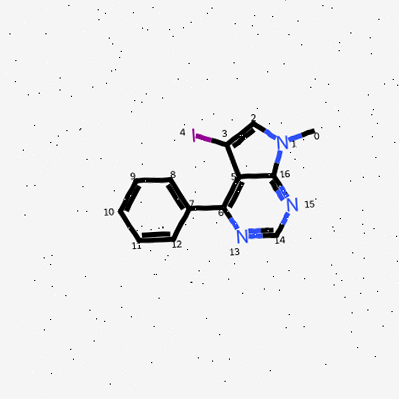 Cn1cc(I)c2c(-c3ccccc3)ncnc21